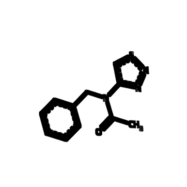 CC(=O)N(Cc1ccccc1)c1csnn1